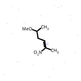 COC(C)C/C=C(/C)[N+](=O)[O-]